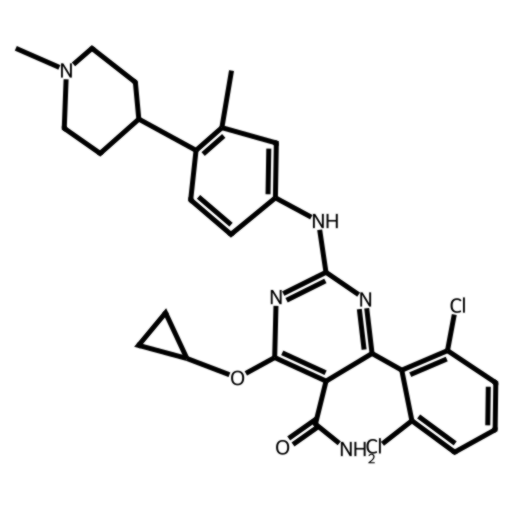 Cc1cc(Nc2nc(OC3CC3)c(C(N)=O)c(-c3c(Cl)cccc3Cl)n2)ccc1C1CCN(C)CC1